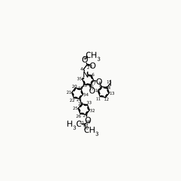 COC(=O)Cn1cc(Oc2ccccc2I)c(=O)c(-c2cccc(-c3ccc(OC(C)C)cc3)c2)c1